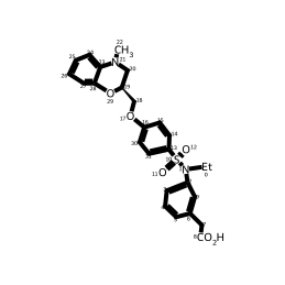 CCN(c1cccc(CC(=O)O)c1)S(=O)(=O)c1ccc(OC[C@@H]2CN(C)c3ccccc3O2)cc1